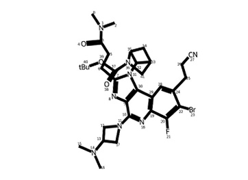 CN(C)C(=O)CCc1nc2c(N3CC(N(C)C)C3)nc3c(F)c(Br)c(CCC#N)cc3c2n1C1C2CC1N(C(=O)OC(C)(C)C)C2